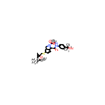 CC(C)(C)OC(=O)N1Cc2cc(SCC3(O[Si](C)(C)C(C)(C)C)CC3)ccc2C1C(=O)Nc1ccc(C(O)(C(F)(F)F)C(F)(F)F)cc1